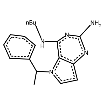 CCCCNc1nc(N)nc2ccn(C(C)c3ccccc3)c12